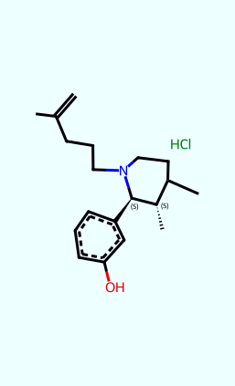 C=C(C)CCCN1CCC(C)[C@H](C)[C@H]1c1cccc(O)c1.Cl